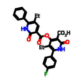 CCc1cc(C(=O)Oc2c(CC)c(-c3ccc(F)cc3)[nH]c(=O)c2C(=O)O)c(=O)[nH]c1-c1ccccc1